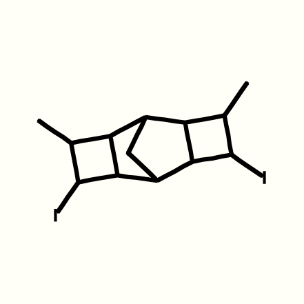 CC1C(I)C2C3CC(C12)C1C(C)C(I)C31